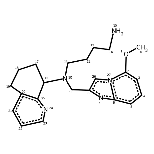 COc1cccc2nc(CN(CCCCN)C3CCCc4cccnc43)cn12